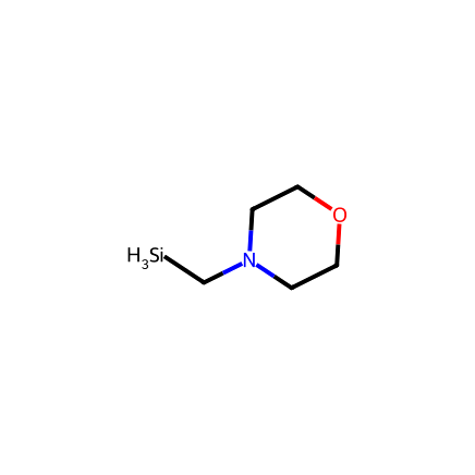 [SiH3]CN1CCOCC1